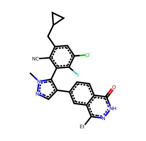 CCc1n[nH]c(=O)c2ccc(-c3cnn(C)c3-c3c(F)c(Cl)cc(CC4CC4)c3C#N)cc12